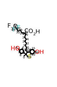 CC1(c2ccc(O)cc2)CSc2cc(O)ccc2C1CCCCCCCC[C@H](CCCC(F)(F)C(F)(F)F)C(=O)O